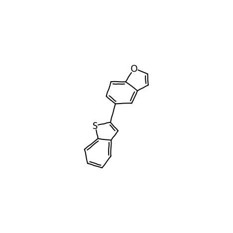 c1ccc2sc(-c3ccc4occc4c3)cc2c1